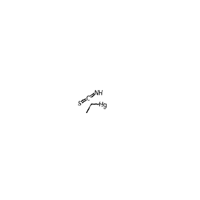 C[CH2][Hg].N=C=S